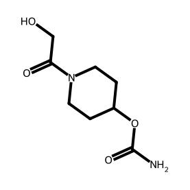 NC(=O)OC1CCN(C(=O)CO)CC1